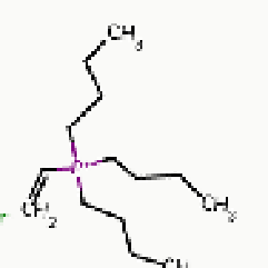 C=C[P+](CCCC)(CCCC)CCCC.[Br-]